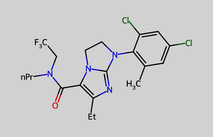 CCCN(CC(F)(F)F)C(=O)c1c(CC)nc2n1CCN2c1c(C)cc(Cl)cc1Cl